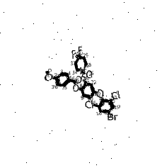 COc1ccc(COc2ccc(Oc3c(Cl)cc(Br)cc3Cl)cc2S(=O)(=O)N2CCC(F)(F)CC2)cc1